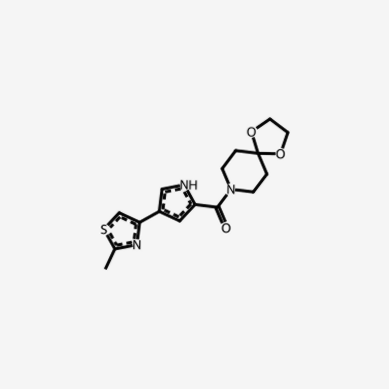 Cc1nc(-c2c[nH]c(C(=O)N3CCC4(CC3)OCCO4)c2)cs1